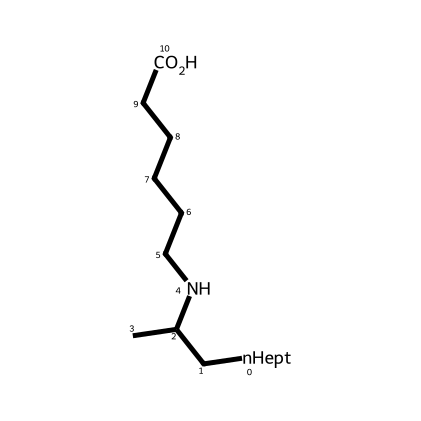 CCCCCCCCC(C)NCCCCCC(=O)O